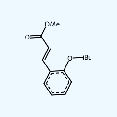 CCC(C)Oc1ccccc1/C=C/C(=O)OC